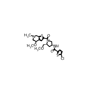 COC[C@@H]1C[C@@H](NC(=O)c2ccc(Cl)s2)CN1C(=O)c1cc2c(s1)CN(C)CC2OC